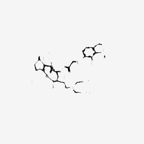 CCN(CC)CC[C@]1(C)C[C@@H](OC(=O)COc2ccc3c(c2F)B(O)OC3)[C@]2(C)C(C)CC[C@]3(CCC(=O)[C@H]32)[C@@H](C)[C@@H]1O